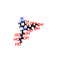 OC[C@@H](O)[C@@H](O)[C@H](O)[C@@H](O)CN(C[C@H](O)[C@@H](O)[C@H](O)[C@H](O)CO)C1CCNCC1